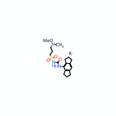 CON(C)CCCS(=O)(=O)NC(=O)Nc1c2c(cc3c1CCC3)CCC2.[K]